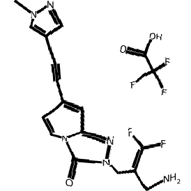 Cn1cc(C#Cc2ccn3c(=O)n(CC(CN)=C(F)F)nc3c2)cn1.O=C(O)C(F)(F)F